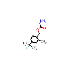 Cc1cc(C(F)(C(F)(F)F)C(F)(F)F)ccc1COC(=O)CN